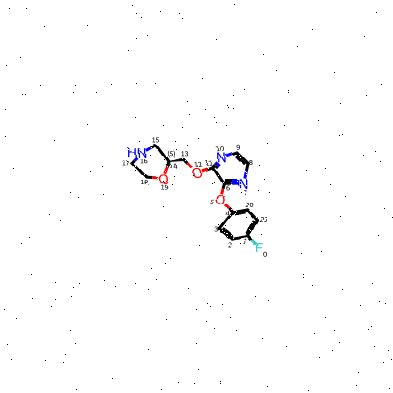 Fc1ccc(Oc2nccnc2OC[C@@H]2CNCCO2)cc1